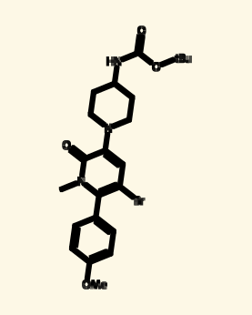 COc1ccc(-c2c(Br)cc(N3CCC(NC(=O)OC(C)(C)C)CC3)c(=O)n2C)cc1